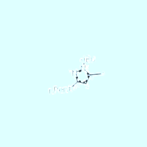 CCCCCc1cc(C)n(C(C)CC)n1